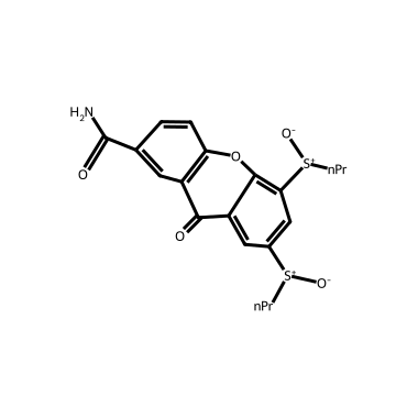 CCC[S+]([O-])c1cc([S+]([O-])CCC)c2oc3ccc(C(N)=O)cc3c(=O)c2c1